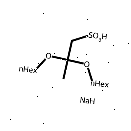 CCCCCCOC(C)(CS(=O)(=O)O)OCCCCCC.[NaH]